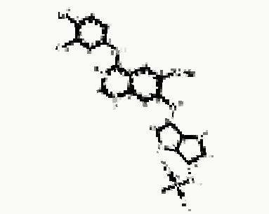 COc1cc2c(Nc3ccc(Br)c(Cl)c3)ncnc2cc1O[C@@H]1COC2C1OC[C@@H]2OS(C)(=O)=O